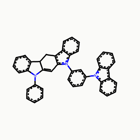 C1=C2C(Cc3c1n(-c1cccc(-n4c5ccccc5c5ccccc54)c1)c1ccccc31)c1ccccc1N2c1ccccc1